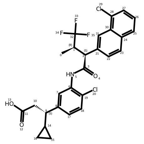 C[C@H]([C@H](C(=O)Nc1cc([C@@H](CC(=O)O)C2CC2)ccc1Cl)c1ccc2cccc(Cl)c2c1)C(F)(F)F